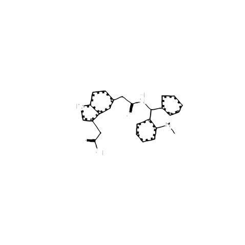 CN(C)c1ccccc1C(NC(=O)Cc1ccc2[nH]cc(CC(=O)O)c2c1)c1ccccc1